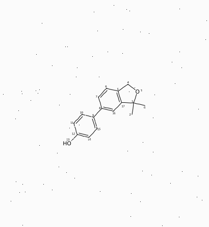 CC1(C)OCc2ccc(-c3ccc(O)cc3)cc21